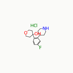 Cl.OC1(c2ccc(F)cc2C2CCNCC2)CCOCC1